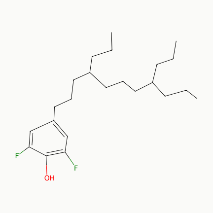 CCCC(CCC)CCCC(CCC)CCCc1cc(F)c(O)c(F)c1